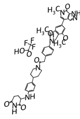 COc1cc(-c2cn(C)c(=O)c3[nH]ncc23)cc(OC)c1CNc1ccc(CC(=O)N2CCC(c3ccc(NC4CCC(=O)NC4=O)cc3)CC2)cc1.O=C(O)C(F)(F)F